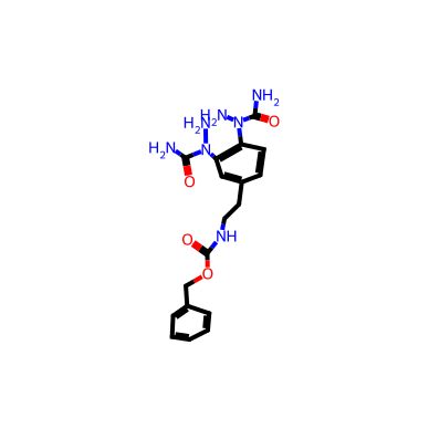 NC(=O)N(N)c1ccc(CCNC(=O)OCc2ccccc2)cc1N(N)C(N)=O